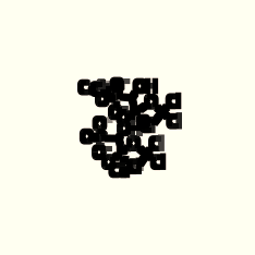 O=P([O-])([O-])C(O)P(=O)([O-])OC(Cl)(Cl)Cl.O=P([O-])([O-])C(O)P(=O)([O-])OC(Cl)(Cl)Cl.[Ca+2].[Ca+2].[Ca+2]